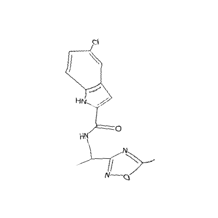 Cc1nc(C(C)NC(=O)c2cc3cc(Cl)ccc3[nH]2)no1